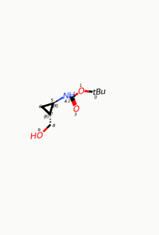 CC(C)(C)OC(=O)N[C@@H]1C[C@H]1CO